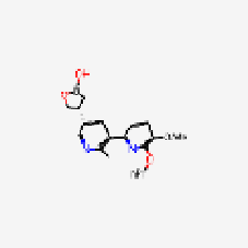 CCCOc1nc(-c2cc([C@@H]3COB(O)C3)cnc2C)ccc1OC